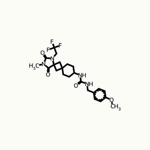 COc1ccc(CNC(=O)NC2CCC3(CC2)CC2(C3)C(=O)N(C)C(=O)N2CC(F)(F)F)cc1